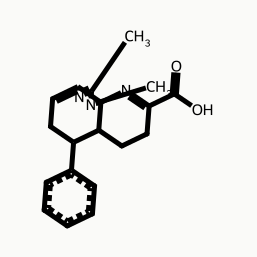 CC1=NC2=CCC(c3ccccc3)C3CCC(C(=O)O)=NC23N1C